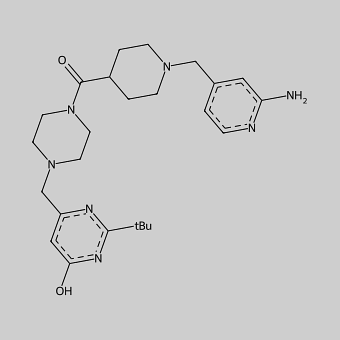 CC(C)(C)c1nc(O)cc(CN2CCN(C(=O)C3CCN(Cc4ccnc(N)c4)CC3)CC2)n1